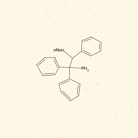 CCCCCCCCCC(c1ccccc1)C(P)(c1ccccc1)c1ccccc1